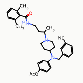 CC(=O)Oc1ccc(N(Cc2cccc(C#N)c2)C2CCN(C(C)CCNC(=O)c3c(C)cccc3C)CC2)cc1